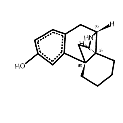 Oc1ccc2c(c1)[C@@]13CCCC[C@@H]1[C@@H](C2)NCC3